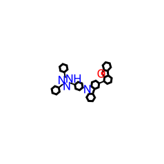 c1ccc(C2=NC(c3ccc(-n4c5ccccc5c5cc(-c6cccc7c6oc6ccccc67)ccc54)cc3)NC(c3ccccc3)=N2)cc1